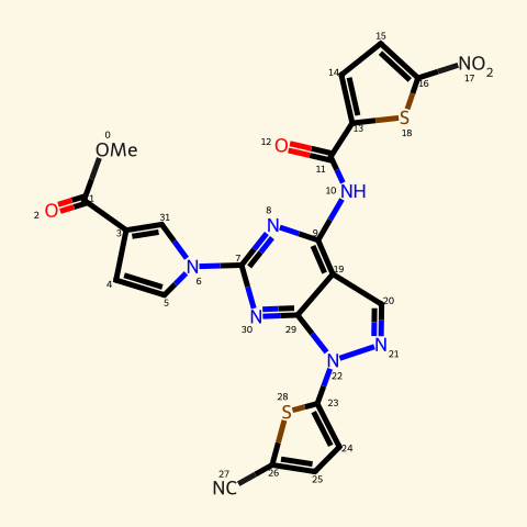 COC(=O)c1ccn(-c2nc(NC(=O)c3ccc([N+](=O)[O-])s3)c3cnn(-c4ccc(C#N)s4)c3n2)c1